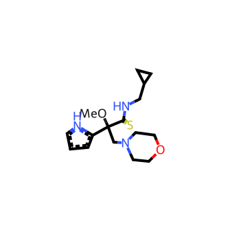 COC(CN1CCOCC1)(C(=S)NCC1CC1)c1ccc[nH]1